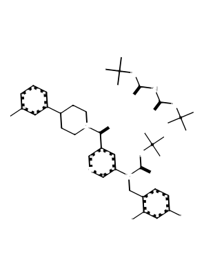 CC(C)(C)OC(=O)NC(=O)OC(C)(C)C.Cc1cccc(C2CCN(C(=O)c3cncc(N(Cc4ccc(F)cc4Cl)C(=O)OC(C)(C)C)c3)CC2)c1